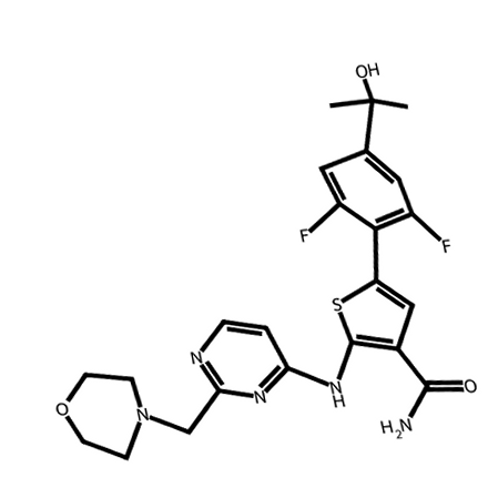 CC(C)(O)c1cc(F)c(-c2cc(C(N)=O)c(Nc3ccnc(CN4CCOCC4)n3)s2)c(F)c1